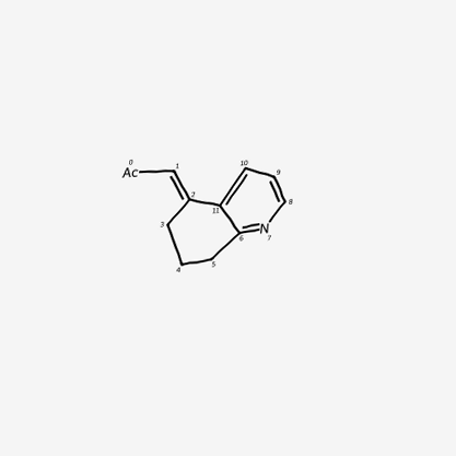 CC(=O)/C=C1\CCCc2ncccc21